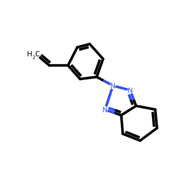 C=Cc1cccc(-n2nc3ccccc3n2)c1